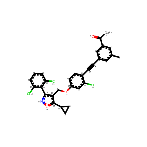 COC(=O)c1cc(C)cc(C#Cc2ccc(OCc3c(-c4c(Cl)cccc4Cl)noc3C3CC3)cc2Cl)c1